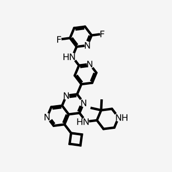 CC1(C)CNCCC1Nc1nc(-c2ccnc(Nc3nc(F)ccc3F)c2)nc2cncc(C3CCC3)c12